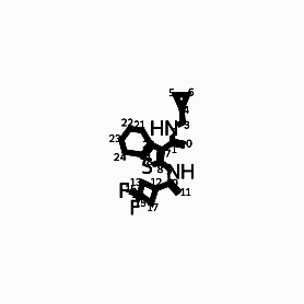 C=C(NCC1CC1)c1c(NC(=C)C2CC(F)(F)C2)sc2c1CCCC2